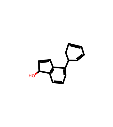 OC1C=Cc2c1cccc2C1C=CC=CC1